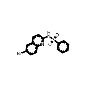 O=S(=O)(Nc1ccc2cc(Br)ccc2n1)c1ccccc1